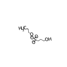 C=CCOOS(=O)(=O)CCCO.[Li]